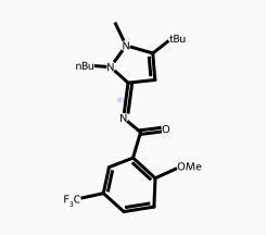 CCCCn1/c(=N/C(=O)c2cc(C(F)(F)F)ccc2OC)cc(C(C)(C)C)n1C